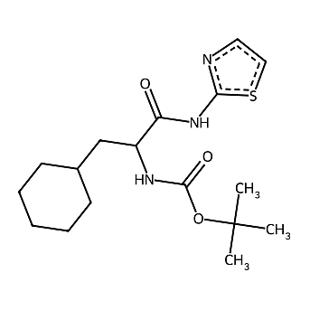 CC(C)(C)OC(=O)NC(CC1CCCCC1)C(=O)Nc1nccs1